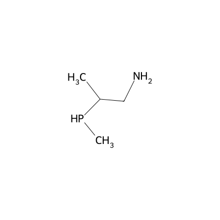 CPC(C)CN